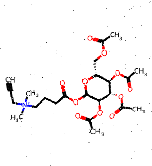 C#CC[N+](C)(C)CCCC(=O)OC1O[C@H](COC(C)=O)[C@@H](OC(C)=O)[C@H](OC(C)=O)[C@H]1OC(C)=O